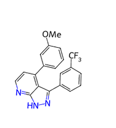 COc1cccc(-c2ccnc3[nH]nc(-c4cccc(C(F)(F)F)c4)c23)c1